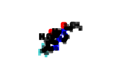 C=CC(=O)N1CCN2c3ncc(C(F)(F)F)cc3C(C)(O)[C@@H]2C1